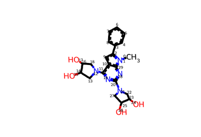 Cn1c(-c2ccccc2)cc2c(N3CC(O)C(O)C3)nc(N3CC(O)C(O)C3)nc21